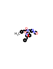 Cc1ccc(/C=C/C(=O)N(Cc2ccc(N3CCOCC3)nc2)[C@@H](Cc2ccccc2)C(=O)N2CCC(Cc3ccccc3)CC2)cc1